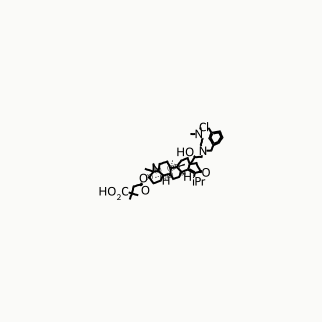 CC(C)C1=C2[C@H]3CC[C@@H]4[C@@]5(C)CC[C@H](OC(=O)CC(C)(C)C(=O)O)C6(C)C[C@]65CC[C@@]4(C)[C@]3(C)CCC2(C(O)CN(CCN(C)C)Cc2cccc(Cl)c2)CC1=O